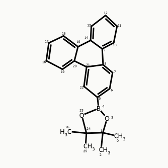 CC1(C)OB(c2ccc3c4ccccc4c4ccccc4c3c2)OC1(C)C